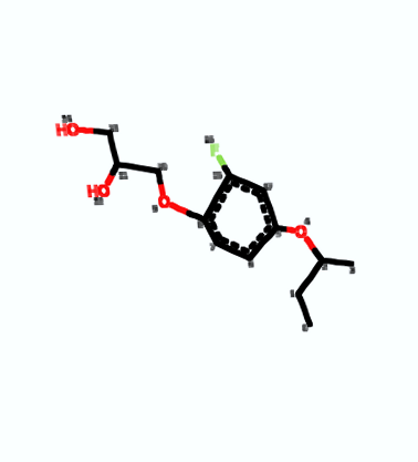 CCC(C)Oc1ccc(OCC(O)CO)c(F)c1